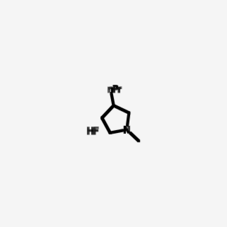 CCCC1CCN(C)C1.F